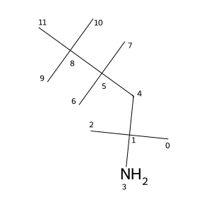 CC(C)(N)CC(C)(C)C(C)(C)C